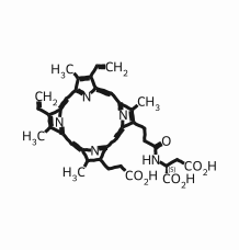 C=CC1=C(C)C2=NC1=CC1=NC(=CC3=NC(=CC4=NC(=C2)C(C=C)=C4C)C(C)C3CCC(=O)O)C(CCC(=O)N[C@@H](CC(=O)O)C(=O)O)=C1C